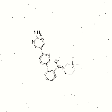 Nc1ncc(-c2ccc(-c3ccccc3[S+]([O-])N3CCCC(F)(F)C3)cn2)cn1